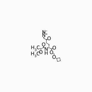 CO[C@@H](C)C(=O)N[C@@H](CCC(=O)C=[N+]=[N-])C(=O)OCOC1CCC1